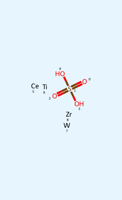 O=S(=O)(O)O.[Ce].[Ti].[W].[Zr]